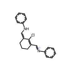 ClC1=C(/C=N/c2ccccc2)CCCC1=CNc1ccccc1